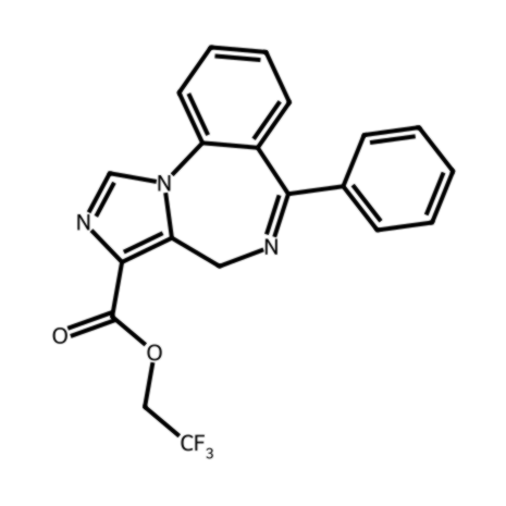 O=C(OCC(F)(F)F)c1ncn2c1CN=C(c1ccccc1)c1ccccc1-2